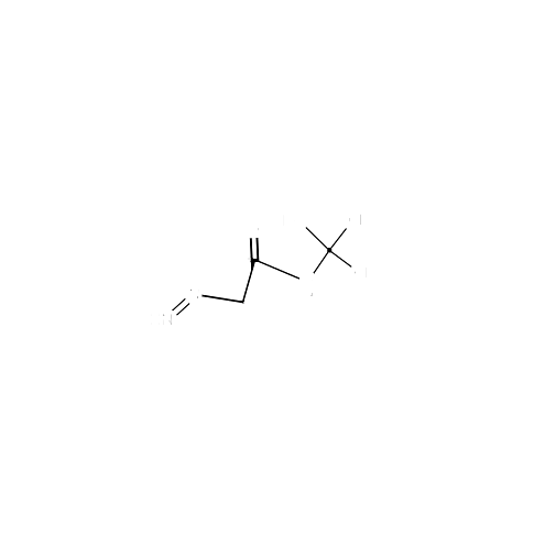 CC(C)(C)OC(=O)CN=N